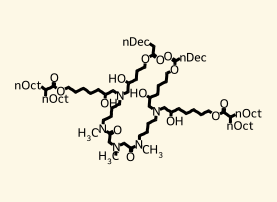 CCCCCCCCCCCC(=O)OCCCC(O)CN(CCCCN(C)C(=O)CN(C)CC(=O)N(C)CCCCN(CC(O)CCCCCOC(=O)C(CCCCCCCC)CCCCCCCC)CC(O)CCCCOC(=O)CCCCCCCCCC)CC(O)CCCCCOC(=O)C(CCCCCCCC)CCCCCCCC